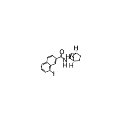 O=C(N[C@@H]1C[C@H]2CC[C@@H]1N2)c1ccc2cccc(I)c2c1